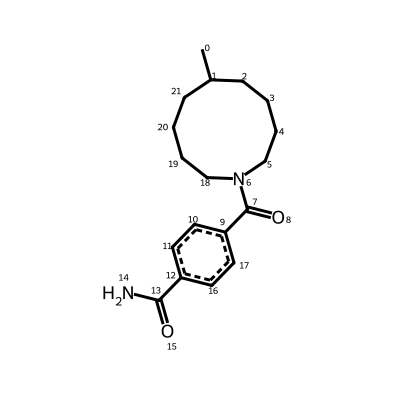 CC1CCCCN(C(=O)c2ccc(C(N)=O)cc2)CCCC1